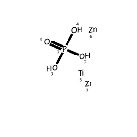 O=P(O)(O)O.[Ti].[Zn].[Zr]